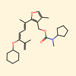 C=C(C)/C(=C\C=C(/C)c1occ(C)c1COC(=O)N(C)C1CCCC1)OC1CCCCC1